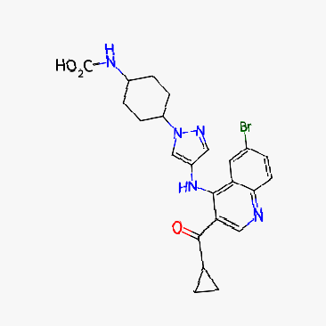 O=C(O)NC1CCC(n2cc(Nc3c(C(=O)C4CC4)cnc4ccc(Br)cc34)cn2)CC1